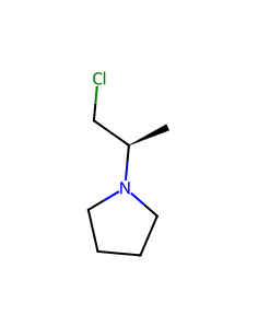 C[C@H](CCl)N1CCCC1